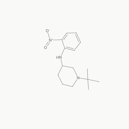 CC(C)(C)N1CCCC(Nc2ccccc2[N+](=O)[O-])C1